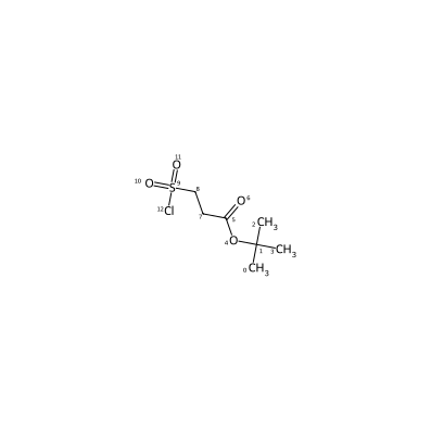 CC(C)(C)OC(=O)CCS(=O)(=O)Cl